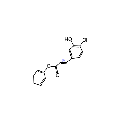 O=C(/C=C/c1ccc(O)c(O)c1)OC1=CCCC=C1